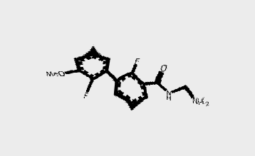 COc1cccc(-c2cccc(C(=O)NCN)c2F)c1F